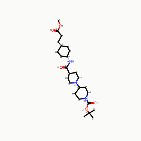 COC(=O)CC[C@H]1CC[C@H](NC(=O)C2CCN(C3CCN(C(=O)OC(C)(C)C)CC3)CC2)CC1